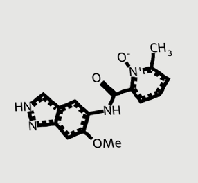 COc1cc2n[nH]cc2cc1NC(=O)c1cccc(C)[n+]1[O-]